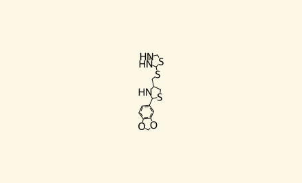 c1cc2c(cc1C1NC(CSC3NNCS3)CS1)OCO2